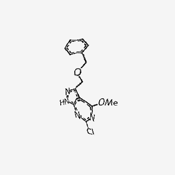 COc1nc(Cl)nc2[nH]nc(COCc3ccccc3)c12